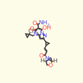 CC1(Cn2c(=O)c(C(N)=O)c(O)n3nc(C4CC4/C=C/C(=O)N4C[C@H]5C[C@@H]4CO5)cc23)CC1